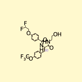 O=C(NCCO)/C(=C/c1ccc(OC(F)(F)F)cc1)NC(=O)c1ccc(OCC(F)F)cc1